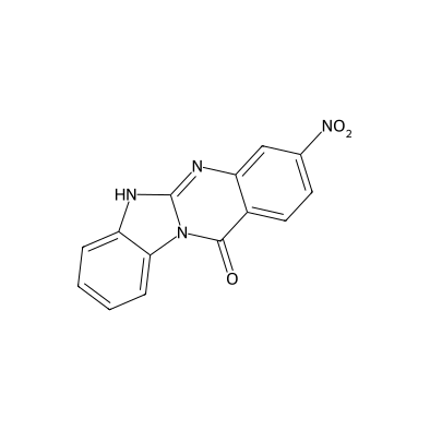 O=c1c2ccc([N+](=O)[O-])cc2nc2[nH]c3ccccc3n12